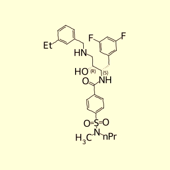 CCCN(C)S(=O)(=O)c1ccc(C(=O)N[C@@H](Cc2cc(F)cc(F)c2)[C@H](O)CNCc2cccc(CC)c2)cc1